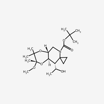 CO[C@@]1(C)O[C@@H]2[C@@H](C(C)O)C3(CC3)N(C(=O)OC(C)(C)C)C[C@H]2OC1(C)C